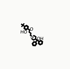 CC(C)(C)c1ccc(C(=O)CCCN2CCC(C(O)(c3ccccc3)c3ccccc3)CC2)c(O)c1